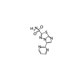 NS(=O)(=O)c1nn2c(-c3ncccn3)cnc2s1